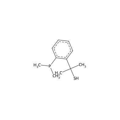 CP(C)c1ccccc1C(C)(C)S